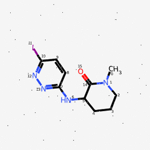 CN1CCCC(Nc2ccc(I)nn2)C1=O